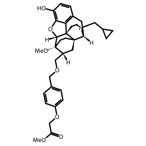 COC(=O)COc1ccc(COC[C@H]2C[C@@]34CC[C@]2(OC)[C@@H]2Oc5c(O)ccc6c5[C@@]23CCN(CC2CC2)[C@@H]4C6)cc1